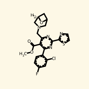 COC(=O)c1c(CN2CC3C[C@H](C2)O3)nc(-c2nccs2)nc1-c1ccc(F)cc1Cl